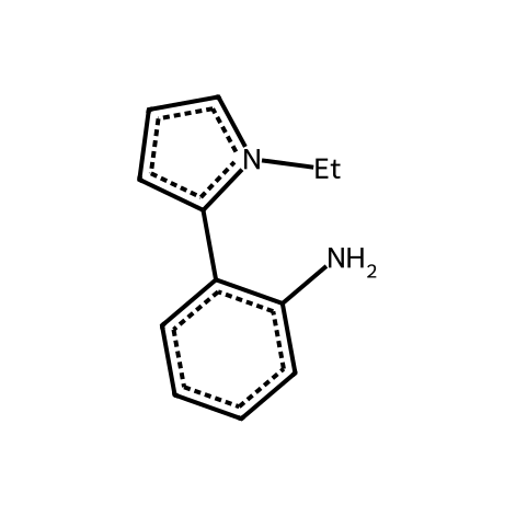 CCn1cccc1-c1ccccc1N